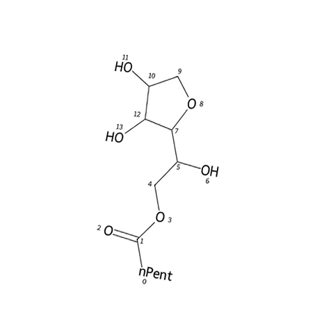 CCCCCC(=O)OCC(O)C1OCC(O)C1O